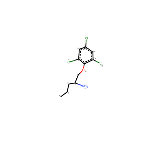 CCCC(N)COc1c(Cl)cc(Cl)cc1Cl